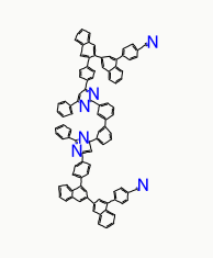 N#Cc1ccc(-c2cc(-c3cc(-c4ccc(-c5cc(-c6cccc(-c7cccc(-c8nc(-c9ccccc9)cc(-c9ccc(-c%10cc%11ccccc%11cc%10-c%10cc(-c%11ccc(C#N)cc%11)c%11ccccc%11c%10)cc9)n8)c7)c6)nc(-c6ccccc6)n5)cc4)c4ccccc4c3)cc3ccccc23)cc1